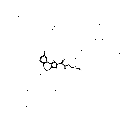 COCCNC(=O)c1cc2c(s1)-c1cc(F)ccc1OCC2